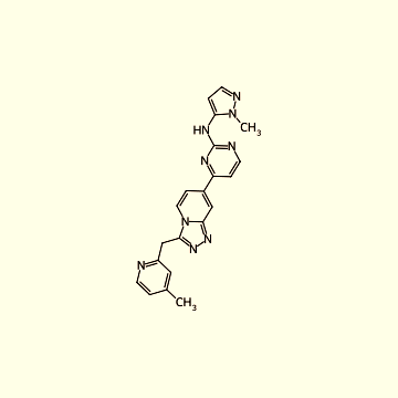 Cc1ccnc(Cc2nnc3cc(-c4ccnc(Nc5ccnn5C)n4)ccn23)c1